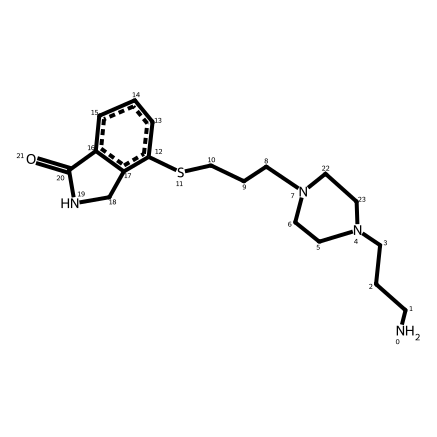 NCCCN1CCN(CCCSc2cccc3c2CNC3=O)CC1